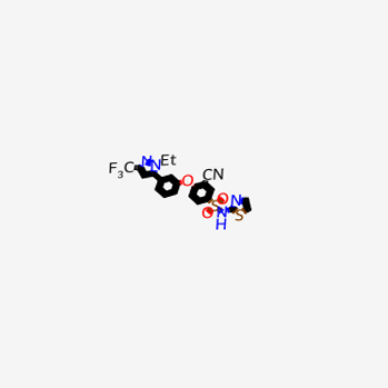 CCn1nc(C(F)(F)F)cc1-c1cccc(Oc2ccc(S(=O)(=O)Nc3nccs3)cc2C#N)c1